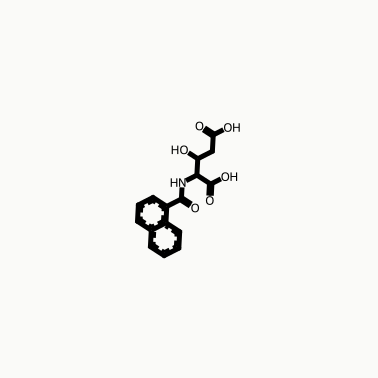 O=C(O)CC(O)C(NC(=O)c1cccc2ccccc12)C(=O)O